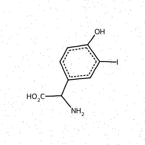 NC(C(=O)O)c1ccc(O)c(I)c1